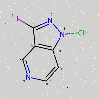 Cln1nc(I)c2cnccc21